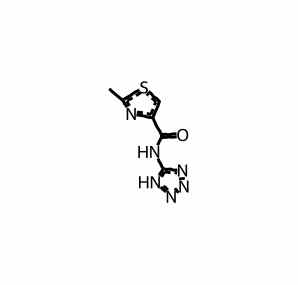 Cc1nc(C(=O)Nc2nnn[nH]2)cs1